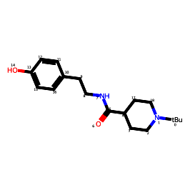 CC(C)(C)N1CCC(C(=O)NCCc2ccc(O)cc2)CC1